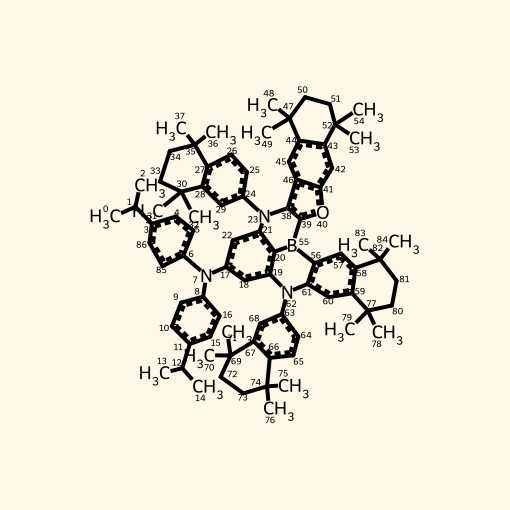 CC(C)c1ccc(N(c2ccc(C(C)C)cc2)c2cc3c4c(c2)N(c2ccc5c(c2)C(C)(C)CCC5(C)C)c2c(oc5cc6c(cc25)C(C)(C)CCC6(C)C)B4c2cc4c(cc2N3c2ccc3c(c2)C(C)(C)CCC3(C)C)C(C)(C)CCC4(C)C)cc1